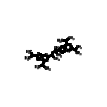 CC(C)c1cn2c(C(C)C)nc(C(C)CC(C)(C)c3cc4c(C(C)C)nc(C(C)C)nn4c3)nc2n1